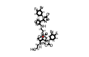 O=C1ONC(CS(=O)(=O)OCCNc2nonc2-c2noc(=O)n2-c2ccc(F)c(Br)c2)(c2nonc2NCCO)N1c1ccc(F)c(Br)c1